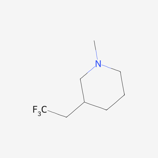 CN1CCCC(CC(F)(F)F)C1